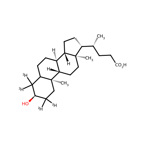 [2H]C1([2H])C[C@@]2(C)C(CC[C@H]3[C@@H]4CC[C@H]([C@H](C)CCC(=O)O)[C@@]4(C)CC[C@@H]32)C([2H])([2H])[C@@H]1O